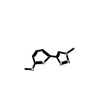 COc1cccc(-c2cn(C)nn2)n1